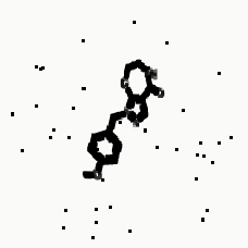 COc1ccc(Cn2ncc3c2OCCNC3=O)cc1